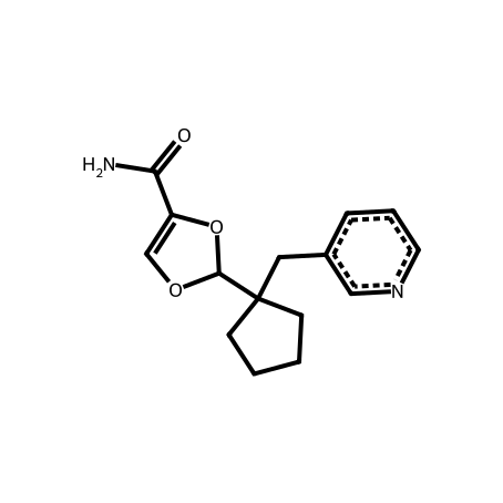 NC(=O)C1=COC(C2(Cc3cccnc3)CCCC2)O1